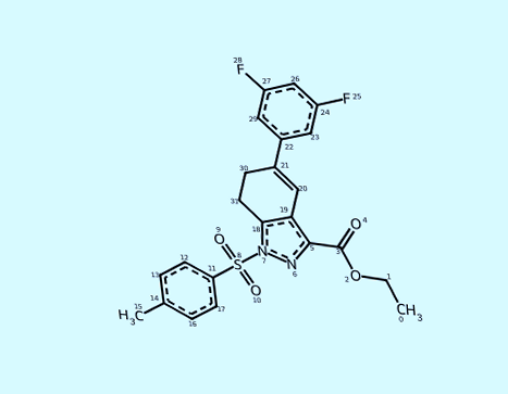 CCOC(=O)c1nn(S(=O)(=O)c2ccc(C)cc2)c2c1C=C(c1cc(F)cc(F)c1)CC2